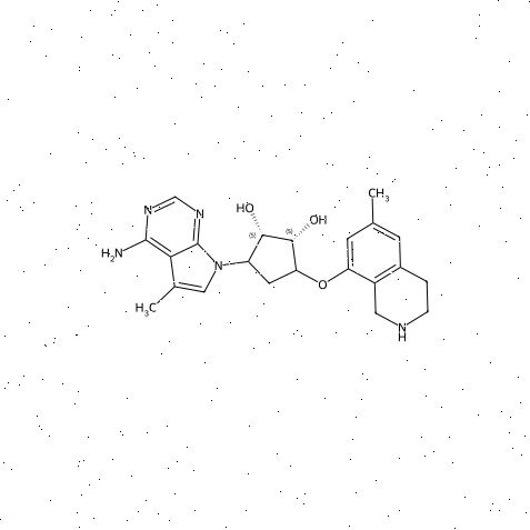 Cc1cc2c(c(OC3CC(n4cc(C)c5c(N)ncnc54)[C@H](O)[C@@H]3O)c1)CNCC2